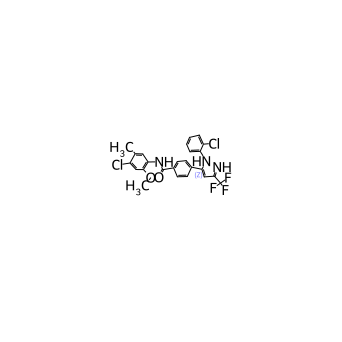 COc1cc(Cl)c(C)cc1NC(=O)c1ccc(/C(=C/C(=N)C(F)(F)F)Nc2ccccc2Cl)cc1